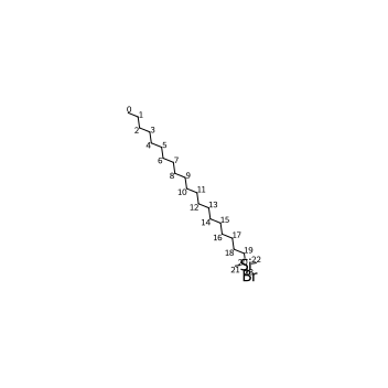 CCCCCCCCCCCCCCCCCCCC[Si](C)(C)Br